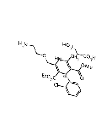 CCOC(=O)C1=C(COCCN)NC(C)=C(C(=O)OC)[C@@H]1c1ccccc1Cl.O=C(O)CC(=O)O